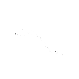 CCCCCCCCCCCCCCCCOC(CC)OP(O)OC